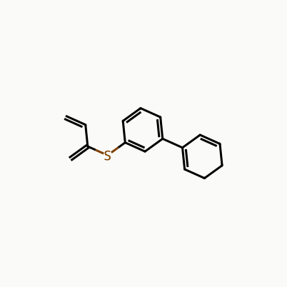 C=CC(=C)Sc1cccc(C2=CCCC=C2)c1